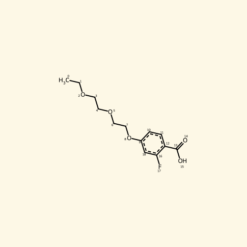 CCOCCOCCOc1ccc(C(=O)O)c(F)c1